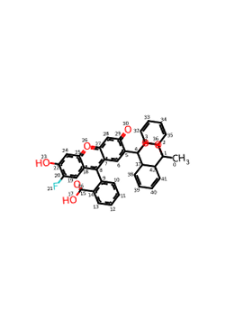 CC12OOC(c3cc4c(-c5ccccc5C(=O)O)c5cc(F)c(O)cc5oc-4cc3=O)(C3C=CC=CC31)C1C=CC=CC12